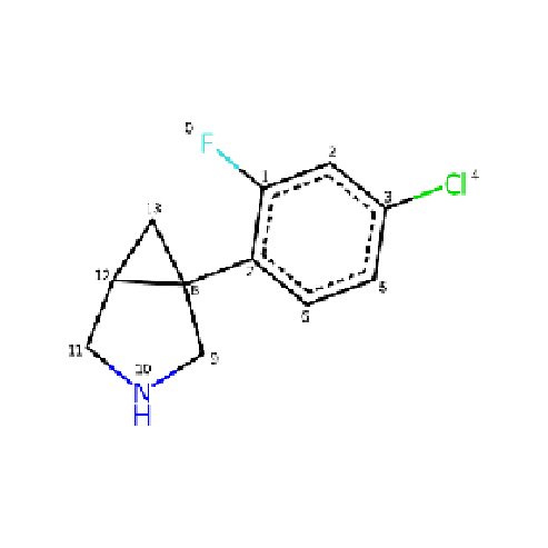 Fc1cc(Cl)ccc1C12CNCC1C2